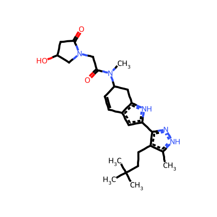 Cc1[nH]nc(-c2cc3c([nH]2)CC(N(C)C(=O)CN2CC(O)CC2=O)C=C3)c1CCC(C)(C)C